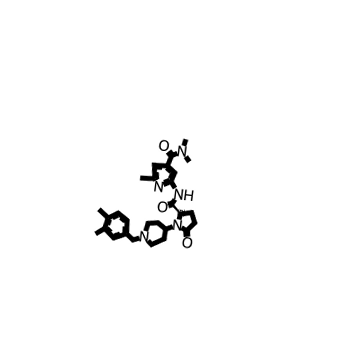 Cc1cc(C(=O)N(C)C)cc(NC(=O)[C@H]2CCC(=O)N2C2CCN(Cc3ccc(C)c(C)c3)CC2)n1